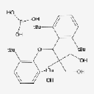 CC(C)(C)c1cccc(C(C)(C)C)c1OC(c1c(C(C)(C)C)cccc1C(C)(C)C)C(CO)(CO)CO.OP(O)O